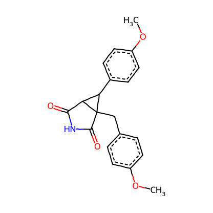 COc1ccc(CC23C(=O)NC(=O)C2C3c2ccc(OC)cc2)cc1